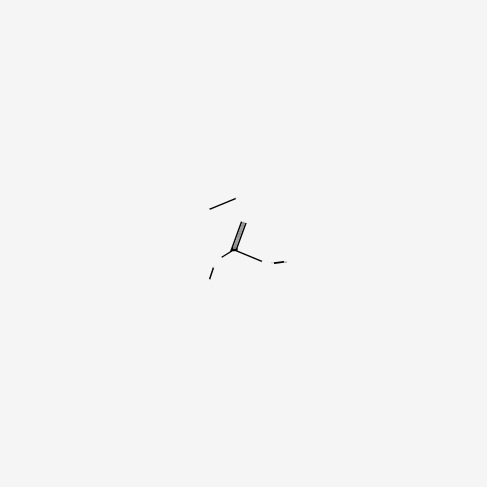 O=C(O)Cl.O=C(OC(Cl)(Cl)Cl)OC(Cl)(Cl)Cl